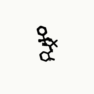 CCC(C)(C)C(=NC1CC=CC[C@@H]1C)NS(=O)(=O)c1ccccc1